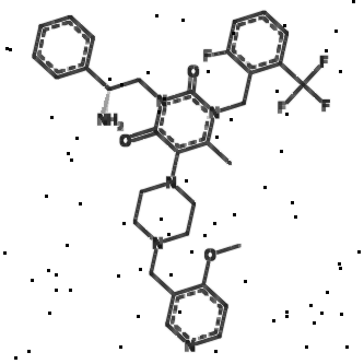 COc1ccncc1CN1CCN(c2c(C)n(Cc3c(F)cccc3C(F)(F)F)c(=O)n(C[C@H](N)c3ccccc3)c2=O)CC1